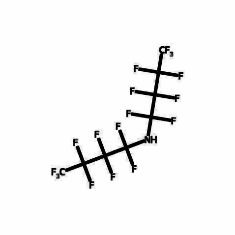 FC(F)(F)C(F)(F)C(F)(F)C(F)(F)NC(F)(F)C(F)(F)C(F)(F)C(F)(F)F